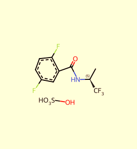 C[C@H](NC(=O)c1cc(F)ccc1F)C(F)(F)F.O=S(=O)(O)O